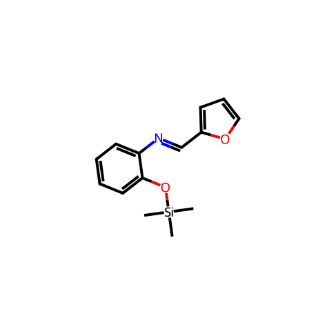 C[Si](C)(C)Oc1ccccc1N=Cc1ccco1